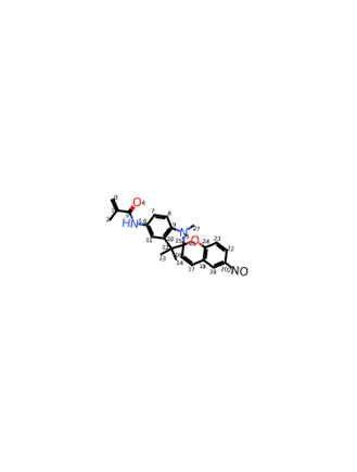 C=C(C)C(=O)Nc1ccc2c(c1)C(C)(C)C1(C=Cc3cc(N=O)ccc3O1)N2C